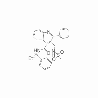 CC[C@H](NC(=O)c1c(CNS(C)(=O)=O)c(-c2ccccc2)nc2ccccc12)c1ccccc1